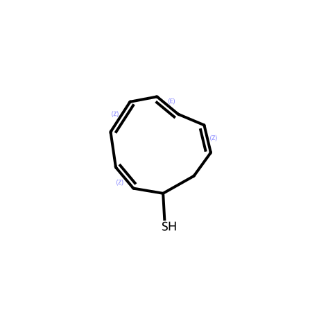 SC1\C=C/C=C\C=C\C=C/C1